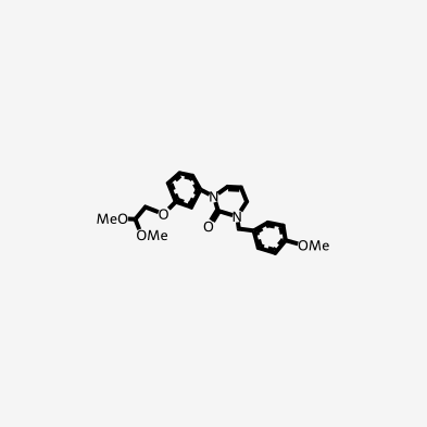 COc1ccc(CN2CC=CN(c3cccc(OCC(OC)OC)c3)C2=O)cc1